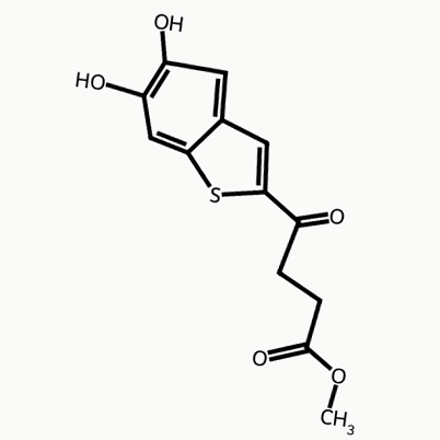 COC(=O)CCC(=O)c1cc2cc(O)c(O)cc2s1